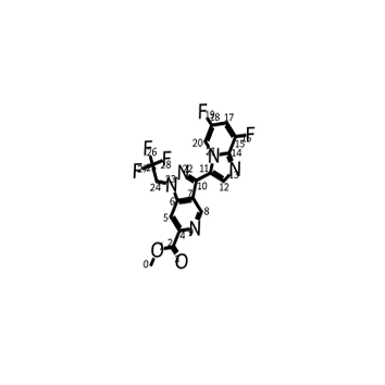 COC(=O)c1cc2c(cn1)c(-c1cnc3c(F)cc(F)cn13)nn2CC(F)(F)F